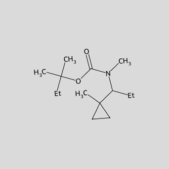 CCC(N(C)C(=O)OC(C)(C)CC)C1(C)CC1